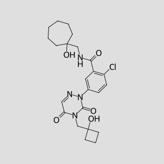 O=C(NCC1(O)CCCCCC1)c1cc(-n2ncc(=O)n(CC3(O)CCC3)c2=O)ccc1Cl